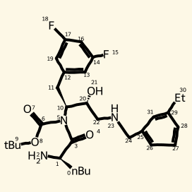 CCCC[C@@H](N)C(=O)N(C(=O)OC(C)(C)C)[C@@H](Cc1cc(F)cc(F)c1)[C@H](O)CNCc1cccc(CC)c1